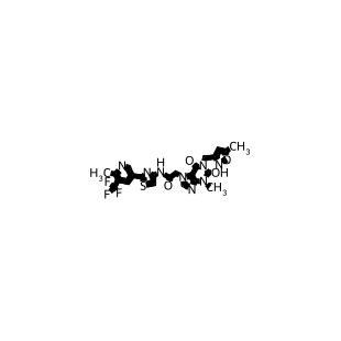 Cc1cc(CN2C(=O)c3c(ncn3CC(=O)Nc3csc(-c4cnc(C)c(C(F)(F)F)c4)n3)N(C)C2O)no1